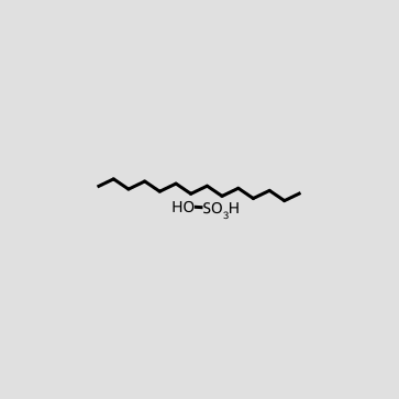 CCCCCCCCCCCCCC.O=S(=O)(O)O